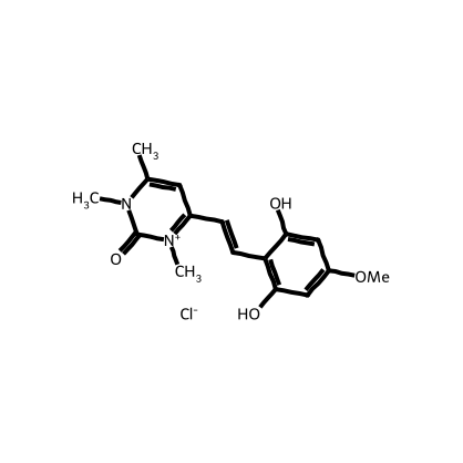 COc1cc(O)c(C=Cc2cc(C)n(C)c(=O)[n+]2C)c(O)c1.[Cl-]